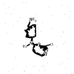 CCN(c1ccc(N)cc1)c1ccnc(Cl)n1